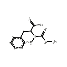 CCC(=O)C(Cc1ccccc1)N(C=O)C(=O)OC(C)(C)C